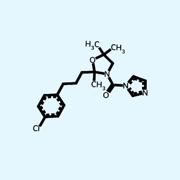 CC1(C)CN(C(=O)n2ccnc2)C(C)(CCCc2ccc(Cl)cc2)O1